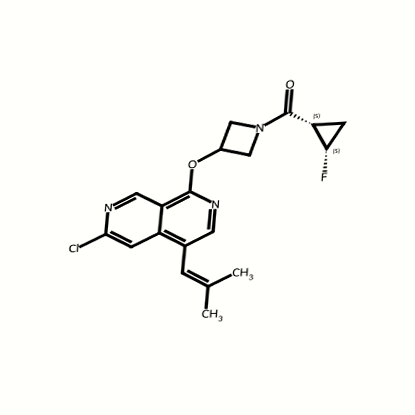 CC(C)=Cc1cnc(OC2CN(C(=O)[C@@H]3C[C@@H]3F)C2)c2cnc(Cl)cc12